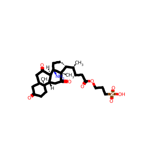 C[C@H](CCC(=O)OCCCS(=O)(=O)O)[C@H]1CC[C@@]2(N)[C@@H]3C(=O)CC4CC(=O)CC[C@]4(C)[C@H]3CC(=O)[C@]12C